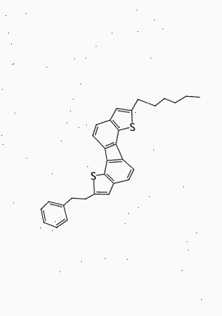 CCCCCCc1cc2ccc3c(c2s1)-c1ccc2cc(CCc4ccccc4)sc2c1-3